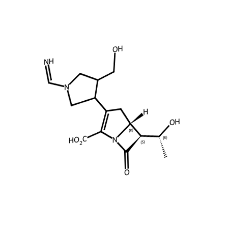 C[C@@H](O)[C@H]1C(=O)N2C(C(=O)O)=C(C3CN(C=N)CC3CO)C[C@H]12